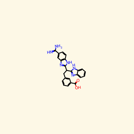 N=C(N)c1ccc2[nH]c(C(Cc3cccc(C(=O)O)c3)c3nc4ccccc4[nH]3)nc2c1